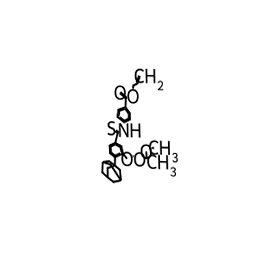 C=CCOC(=O)c1ccc(NC(=S)c2ccc(C34CC5CC(CC(C5)C3)C4)c(OCOC(C)OC)c2)cc1